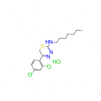 CCCCCCCNC1=NN=C(c2ccc(Cl)cc2Cl)CS1.Cl